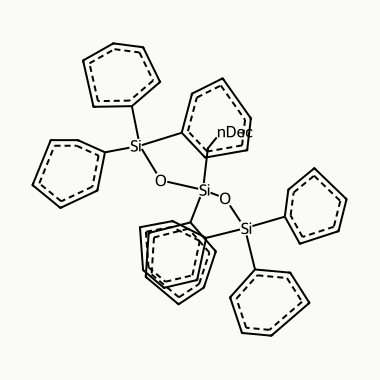 [CH2]CCCCCCCCCC[Si](O[Si](c1ccccc1)(c1ccccc1)c1ccccc1)(O[Si](c1ccccc1)(c1ccccc1)c1ccccc1)c1ccccc1